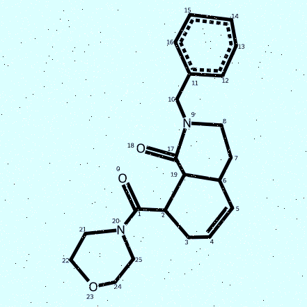 O=C(C1CC=CC2CCN(Cc3ccccc3)C(=O)C21)N1CCOCC1